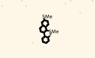 CSc1ccc2c(SC)c(-c3ccccc3F)ccc2c1